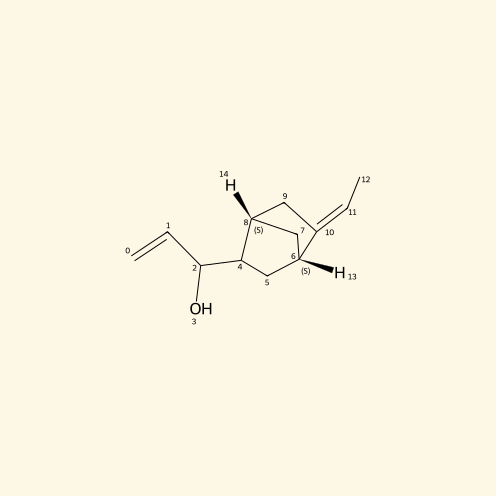 C=CC(O)C1C[C@@H]2C[C@H]1CC2=CC